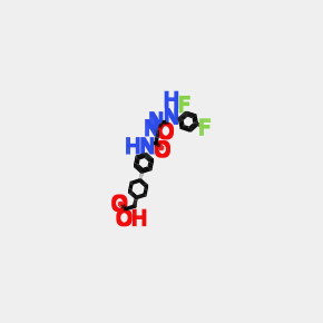 O=C(O)C[C@H]1CC[C@H](c2ccc(NC(=O)c3nnc(Nc4ccc(F)cc4F)o3)cc2)CC1